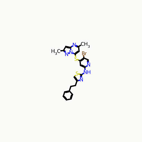 Cc1cc(Sc2cc(Nc3nc(CCc4ccccc4)cs3)ncc2Br)n2nc(C)cc2n1